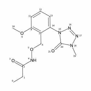 CCC(=O)NOCc1c(OC)cccc1-n1nnn(C)c1=O